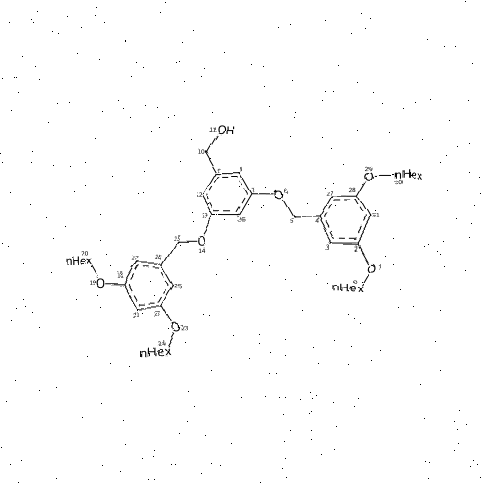 CCCCCCOc1cc(COc2cc(CO)cc(OCc3cc(OCCCCCC)cc(OCCCCCC)c3)c2)cc(OCCCCCC)c1